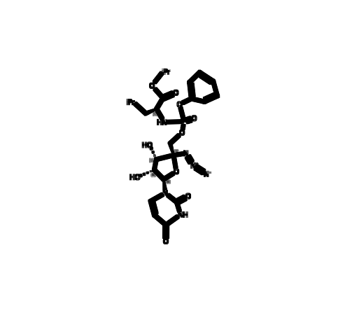 CC(C)C[C@H](NP(=O)(OC[C@@]1(N=[N+]=[N-])O[C@@H](n2ccc(=O)[nH]c2=O)[C@H](O)[C@@H]1O)Oc1ccccc1)C(=O)OC(C)C